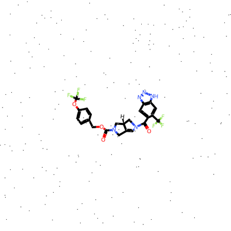 O=C(c1cc2nn[nH]c2cc1C(F)(F)F)N1C=C2CN(C(=O)OCc3ccc(OC(F)(F)F)cc3)C[C@@H]2C1